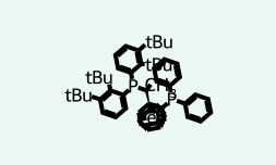 CC(P(c1cccc(C(C)(C)C)c1C(C)(C)C)c1cccc(C(C)(C)C)c1C(C)(C)C)[C@@]12[CH]3[CH]4[CH]5[C]1(P(c1ccccc1)c1ccccc1)[Fe]45321678[CH]2[CH]1[CH]6[CH]7[CH]28